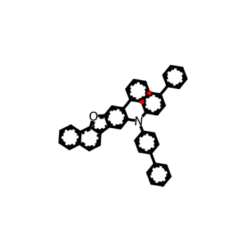 c1ccc(-c2ccc(N(c3ccc(-c4ccccc4)cc3)c3cc4c(cc3-c3ccccc3)oc3c5ccccc5ccc43)cc2)cc1